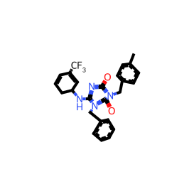 Cc1ccc(Cn2c(=O)nc(NC3C=C(C(F)(F)F)C=CC3)n(Cc3ccccc3)c2=O)cc1